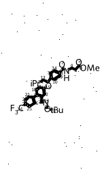 COC(=O)CCNC(=O)c1ccc(C(CC(C)C)Oc2ccc(-c3ccc(C(F)(F)F)cc3)c(/C=N/OC(C)(C)C)c2)cc1